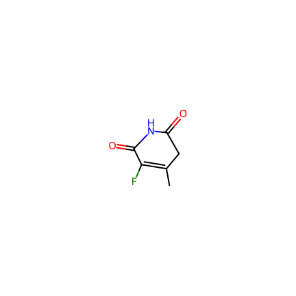 CC1=C(F)C(=O)NC(=O)C1